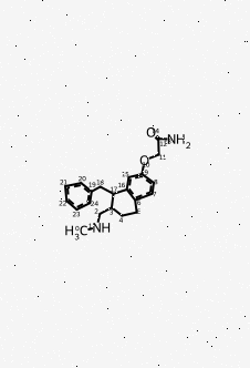 CNCC1CCc2ccc(OCC(N)=O)cc2C1Cc1ccccc1